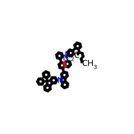 C=C(/C=C\C=C/C)c1ccccc1-c1ccc(N(c2ccccc2)c2ccccc2-c2ccc(-c3ccc4c5ccccc5n(-c5ccc6c(c5)-c5ccccc5C6(c5ccccc5)c5ccccc5)c4c3)cc2)cc1